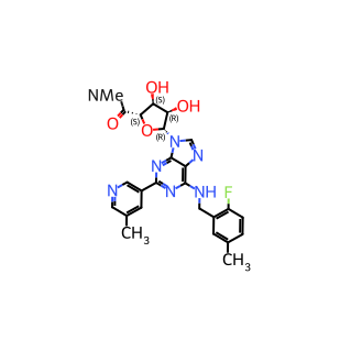 CNC(=O)[C@H]1O[C@@H](n2cnc3c(NCc4cc(C)ccc4F)nc(-c4cncc(C)c4)nc32)[C@H](O)[C@@H]1O